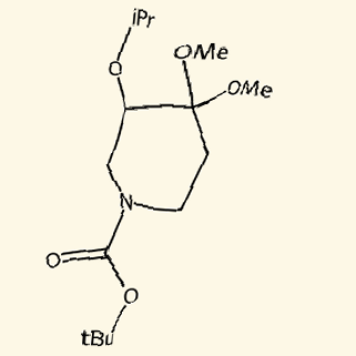 COC1(OC)CCN(C(=O)OC(C)(C)C)CC1OC(C)C